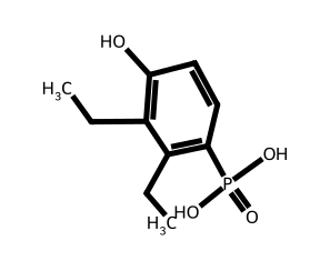 CCc1c(O)ccc(P(=O)(O)O)c1CC